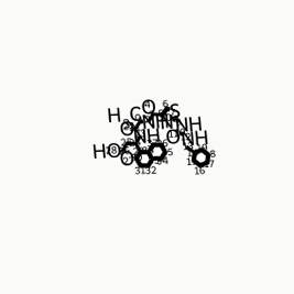 CC(NC(=O)c1csc(NC(=O)NCc2ccccc2)n1)C(=O)NC(CC(=O)O)c1cccc2ccccc12